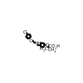 CC(C)(Oc1ccc(CNCCOc2ccc(Cl)cc2)cc1)C(=O)O